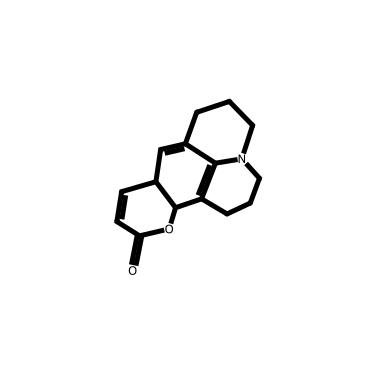 O=C1C=CC2C=C3CCCN4CCCC(=C34)C2O1